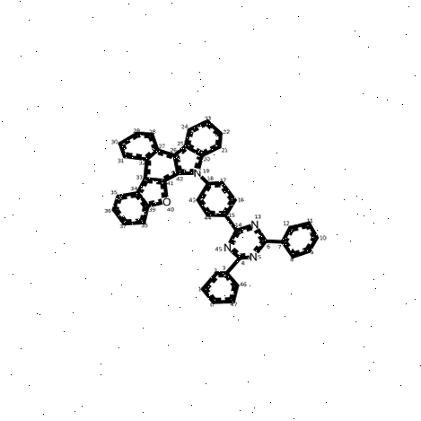 c1ccc(-c2nc(-c3ccccc3)nc(-c3ccc(-n4c5ccccc5c5c6ccccc6c6c7ccccc7oc6c54)cc3)n2)cc1